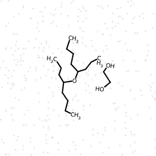 CCCCC(CCC)OC(CCC)CCCC.OCCO